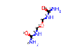 NC(=O)NCOCNC(N)=O